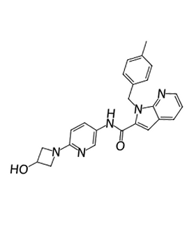 Cc1ccc(Cn2c(C(=O)Nc3ccc(N4CC(O)C4)nc3)cc3cccnc32)cc1